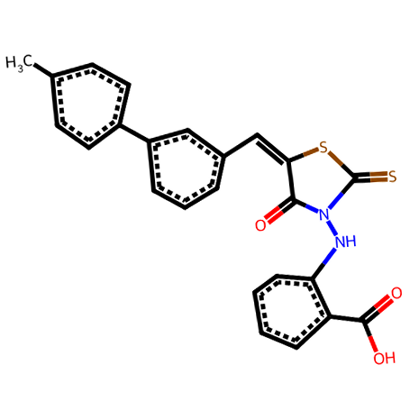 Cc1ccc(-c2cccc(/C=C3/SC(=S)N(Nc4ccccc4C(=O)O)C3=O)c2)cc1